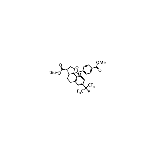 COC(=O)c1ccc(S(=O)(=O)C23CCN(C(=O)OC(C)(C)C)C2CCc2cc(C(F)(C(F)(F)F)C(F)(F)F)ccc23)cc1